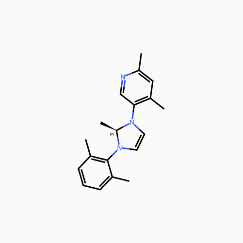 Cc1cc(C)c(N2C=CN(c3c(C)cccc3C)[C@H]2C)cn1